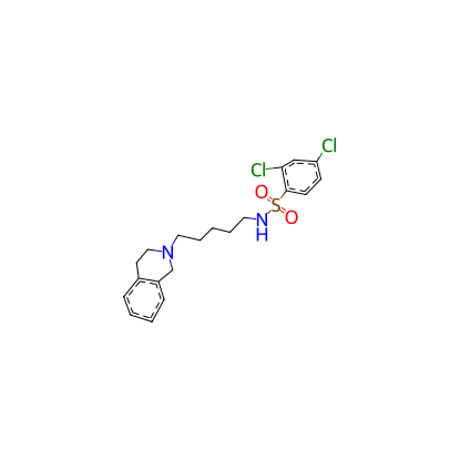 O=S(=O)(NCCCCCN1CCc2ccccc2C1)c1ccc(Cl)cc1Cl